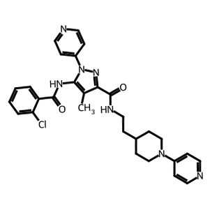 Cc1c(C(=O)NCCC2CCN(c3ccncc3)CC2)nn(-c2ccncc2)c1NC(=O)c1ccccc1Cl